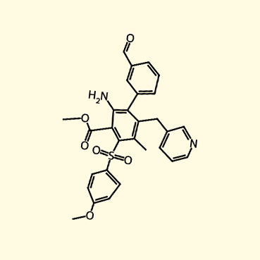 COC(=O)c1c(N)c(-c2cccc(C=O)c2)c(Cc2cccnc2)c(C)c1S(=O)(=O)c1ccc(OC)cc1